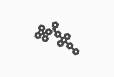 c1ccc(-c2ccc(-c3c4ccccc4c(-c4ccc(N(c5ccccc5)c5ccc(C6(c7ccccc7)c7ccccc7-c7ccccc76)cc5)cc4)c4ccccc34)cc2)cc1